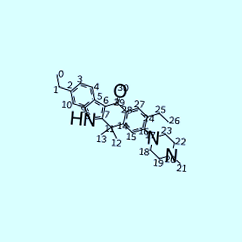 CCc1ccc2c3c([nH]c2c1)C(C)(C)c1cc(N2CCN(C)CC2)c(CC)cc1C3=O